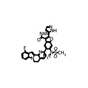 CNC(=O)c1c(-c2ccn[nH]2)oc2cc(N(C)S(C)(=O)=O)c(-c3ccc4c(n3)-c3cc5c(F)cccc5n3CC4)cc12